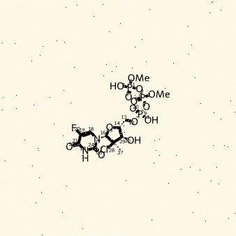 COP(=O)(O)OP(=O)(OC)OP(=O)(O)OC[C@H]1O[C@@H](n2cc(F)c(=O)[nH]c2=O)[C@](C)(Cl)[C@@H]1O